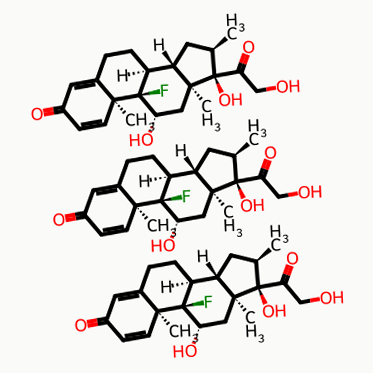 C[C@@H]1C[C@H]2[C@@H]3CCC4=CC(=O)C=C[C@]4(C)[C@@]3(F)[C@@H](O)C[C@]2(C)[C@@]1(O)C(=O)CO.C[C@@H]1C[C@H]2[C@@H]3CCC4=CC(=O)C=C[C@]4(C)[C@@]3(F)[C@@H](O)C[C@]2(C)[C@@]1(O)C(=O)CO.C[C@@H]1C[C@H]2[C@@H]3CCC4=CC(=O)C=C[C@]4(C)[C@@]3(F)[C@@H](O)C[C@]2(C)[C@@]1(O)C(=O)CO